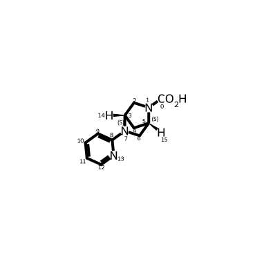 O=C(O)N1C[C@@H]2C[C@H]1CN2c1ccccn1